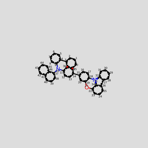 c1ccc(-c2ccccc2N(c2ccc(-c3ccc4c(c3)Oc3cccc5c6ccccc6n-4c35)cc2)c2cccc3ccccc23)cc1